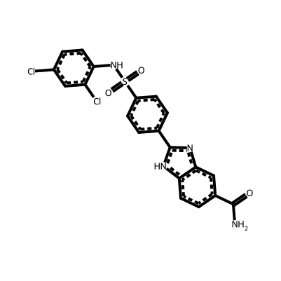 NC(=O)c1ccc2[nH]c(-c3ccc(S(=O)(=O)Nc4ccc(Cl)cc4Cl)cc3)nc2c1